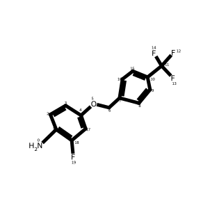 Nc1ccc(OCc2ccc(C(F)(F)F)cc2)cc1F